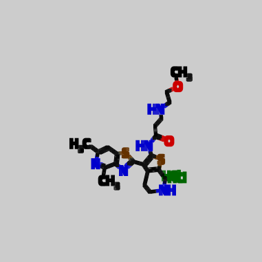 COCCNCCC(=O)Nc1sc2c(c1-c1nc3c(C)nc(C)cc3s1)CCNC2.Cl.Cl